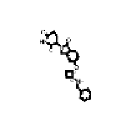 O=C1CCC(N2Cc3cc(O[C@H]4CC[C@@H]4NCc4ccccc4)ccc3C2=O)C(=O)N1